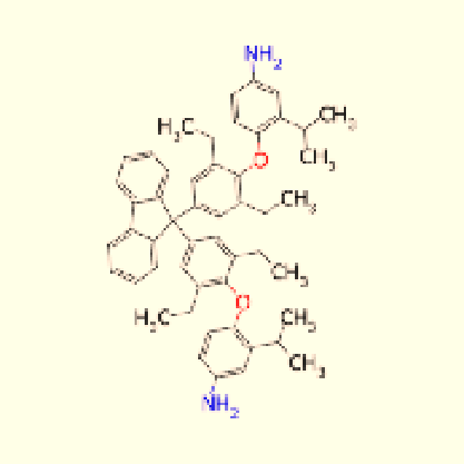 CCc1cc(C2(c3cc(CC)c(Oc4ccc(N)cc4C(C)C)c(CC)c3)c3ccccc3-c3ccccc32)cc(CC)c1Oc1ccc(N)cc1C(C)C